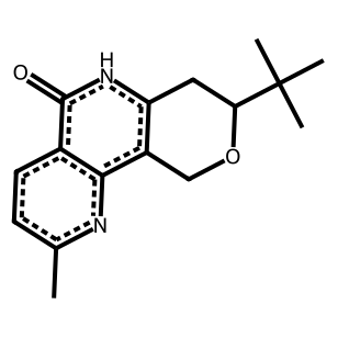 Cc1ccc2c(=O)[nH]c3c(c2n1)COC(C(C)(C)C)C3